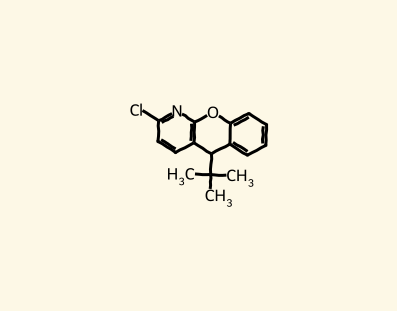 CC(C)(C)C1c2ccccc2Oc2nc(Cl)ccc21